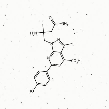 Cc1nn(CC(C)(N)CC(N)=O)c2nc(-c3ccc(O)cc3)cc(C(=O)O)c12